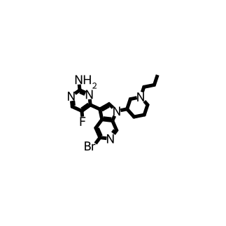 CCCN1CCCC(n2cc(-c3nc(N)ncc3F)c3cc(Br)ncc32)C1